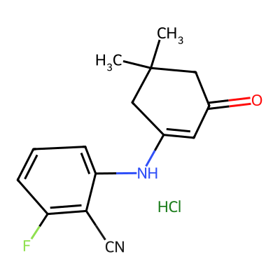 CC1(C)CC(=O)C=C(Nc2cccc(F)c2C#N)C1.Cl